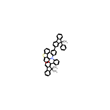 CC1(C)c2ccccc2-c2cccc(-c3ccccc3N(c3ccc(-c4ccc5c(c4)C(C)(c4ccccc4)c4ccccc4-5)cc3)c3cccc4sc5ccccc5c34)c21